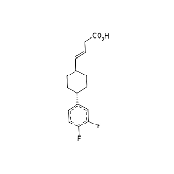 O=C(O)CC=C[C@H]1CC[C@H](c2ccc(F)c(F)c2)CC1